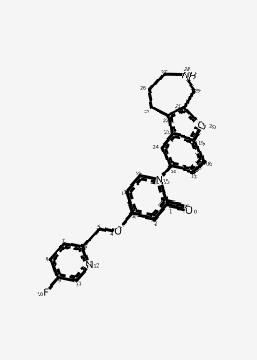 O=c1cc(OCc2ccc(F)cn2)ccn1-c1ccc2oc3c(c2c1)CCCNC3